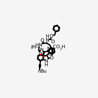 CCCCC#Cc1cccc2c1NC1Oc3ccc4cc3C21c1oc(nc1-c1nc(C(=O)O)co1)[C@H](C(C)C)NC(=O)[C@@H](NC(=O)OCc1ccccc1)C4